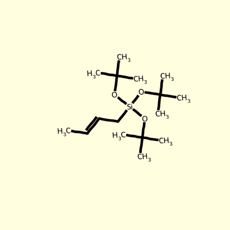 CC=CC[Si](OC(C)(C)C)(OC(C)(C)C)OC(C)(C)C